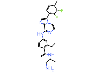 C=C(NC(C)CN)c1ccc(Nc2nccn3c(C4=C(F)C(F)C(C)C=C4)cnc23)cc1CC